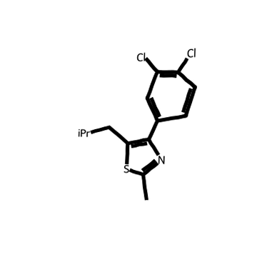 Cc1nc(-c2ccc(Cl)c(Cl)c2)c(CC(C)C)s1